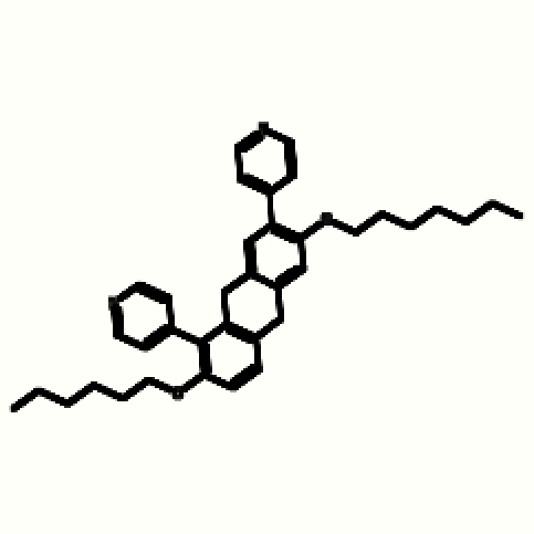 CCCCCCCOc1cc2c(cc1-c1ccncc1)Cc1c(ccc(OCCCCCC)c1-c1ccncc1)C2